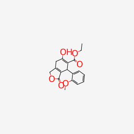 CCOC(=O)C1=C(O)CC2=C(C(=O)OC2)C1c1ccccc1OC